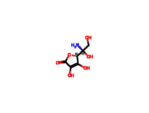 N[C@](O)(CO)[C@H]1OC(=O)C(O)=C1O